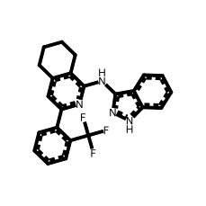 FC(F)(F)c1ccccc1-c1cc2c(c(Nc3n[nH]c4ccccc34)n1)CCCC2